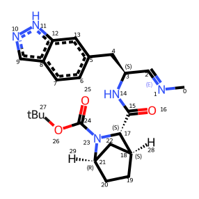 C/N=C/[C@H](Cc1ccc2cn[nH]c2c1)NC(=O)[C@@H]1[C@H]2CC[C@H](C2)N1C(=O)OC(C)(C)C